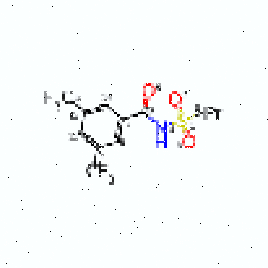 CC(C)S(=O)(=O)NC(=O)c1cc(C(F)(F)F)cc(C(F)(F)F)c1